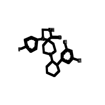 O=C1NCN(c2ccc(F)cc2)C12CCN(C1CCCCC1c1cc(Cl)cc(Cl)c1)CC2